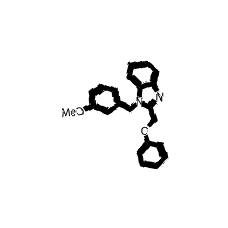 COc1cccc(Cn2c(COc3ccccc3)nc3ccccc32)c1